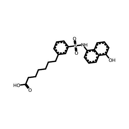 O=C(O)CCCCCCc1cccc(S(=O)(=O)Nc2cccc3c(O)cccc23)c1